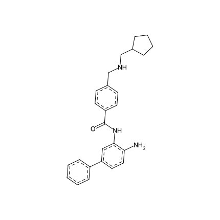 Nc1ccc(-c2ccccc2)cc1NC(=O)c1ccc(CNCC2CCCC2)cc1